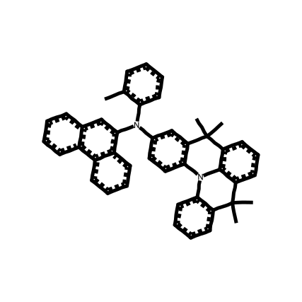 Cc1ccccc1N(c1ccc2c(c1)C(C)(C)c1cccc3c1N2c1ccccc1C3(C)C)c1cc2ccccc2c2ccccc12